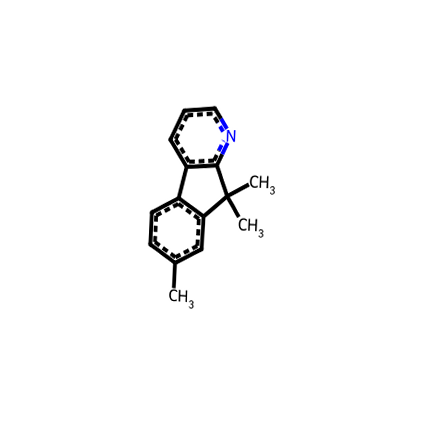 Cc1ccc2c(c1)C(C)(C)c1ncccc1-2